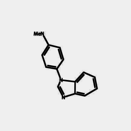 CNc1ccc(-n2cnc3ccccc32)cc1